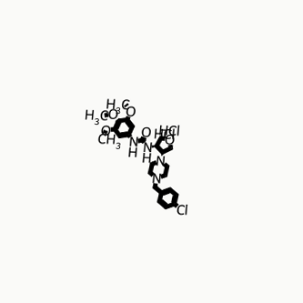 COc1cc(NC(=O)N[C@H]2COC[C@@H]2N2CCN(Cc3ccc(Cl)cc3)CC2)cc(OC)c1OC.Cl.Cl